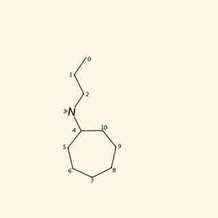 CCC[N]C1CCCCCC1